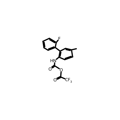 Cc1ccc(NC(=O)OC(=O)C(F)(F)F)c(-c2ccccc2F)c1